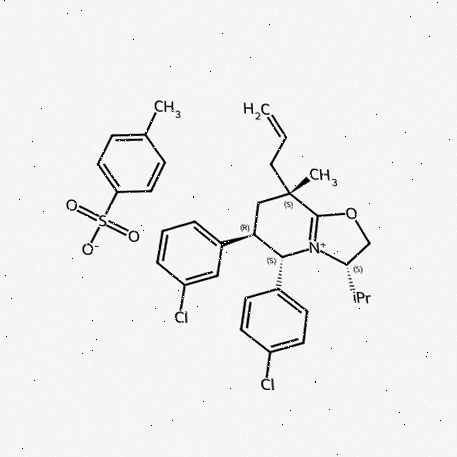 C=CC[C@@]1(C)C[C@H](c2cccc(Cl)c2)[C@@H](c2ccc(Cl)cc2)[N+]2=C1OC[C@@H]2C(C)C.Cc1ccc(S(=O)(=O)[O-])cc1